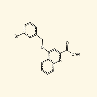 COC(=O)c1cc(OCc2cccc(Br)c2)c2ccccc2n1